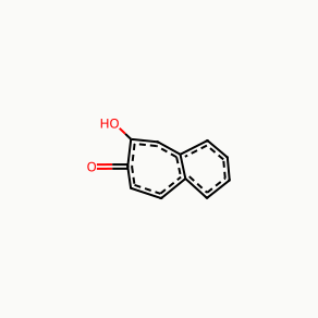 O=c1ccc2ccccc2cc1O